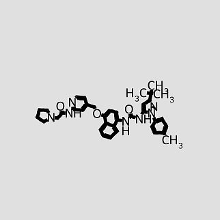 Cc1ccc(-n2nc(C(C)(C)C)cc2NC(=O)Nc2ccc(OCc3ccnc(NC(=O)CN4CCCC4)c3)c3ccccc23)cc1